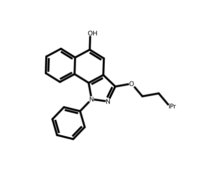 CC(C)CCOc1nn(-c2ccccc2)c2c1cc(O)c1ccccc12